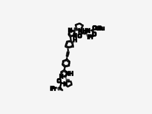 CC(C)[C@@H](C)C(=O)N1CCC[C@H]1c1ncc(-c2ccc(C#Cc3ccc(-c4cnc([C@@H]5CCCN5C(=O)[C@H](NC(=O)OC(C)(C)C)C(C)C)[nH]4)cc3)cc2)[nH]1